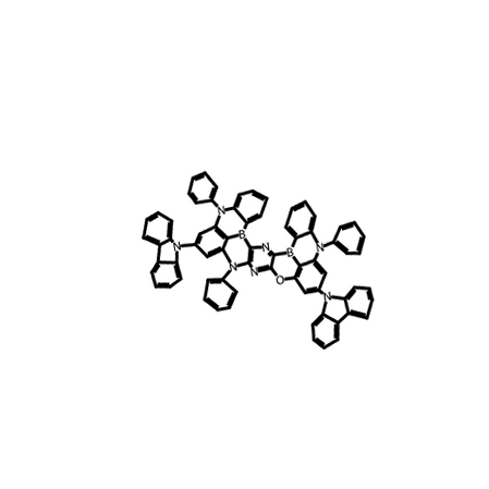 c1ccc(N2c3ccccc3B3c4nc5c(nc4Oc4cc(-n6c7ccccc7c7ccccc76)cc2c43)N(c2ccccc2)c2cc(-n3c4ccccc4c4ccccc43)cc3c2B5c2ccccc2N3c2ccccc2)cc1